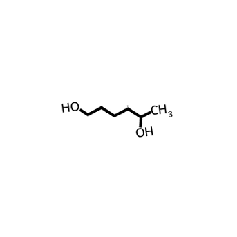 CC(O)[CH]CCCO